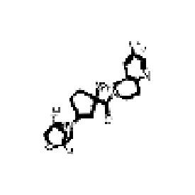 CC(C)[C@]1(C(=O)N2CCc3ncc(C(F)(F)F)cc3C2)CCC(N2C[C@@H]3C[C@H]2CO3)C1